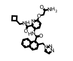 NC(=O)COc1ccc(NC(=O)c2c(Cn3ccnn3)ccc3ccccc23)c(C(=O)NCC2CCC2)n1